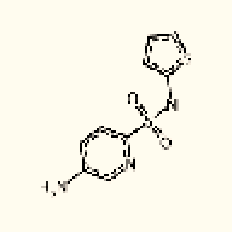 Nc1ccc(S(=O)(=O)Nc2cccs2)nc1